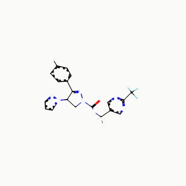 Cc1ccc(C2=NN(C(=O)N[C@H](C)c3cnc(C(F)(F)F)nc3)CC2n2cccn2)cc1